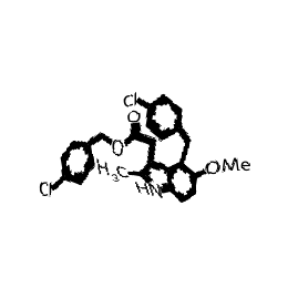 COc1ccc2[nH]c(C)c(CC(=O)OCc3ccc(Cl)cc3)c2c1Cc1ccc(Cl)cc1